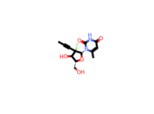 CC#C[C@@]1(F)C(O)[C@@H](CO)O[C@H]1n1c(C)cc(=O)[nH]c1=O